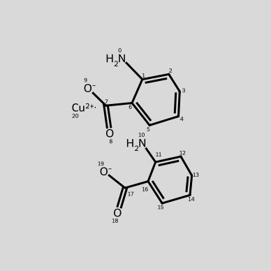 Nc1ccccc1C(=O)[O-].Nc1ccccc1C(=O)[O-].[Cu+2]